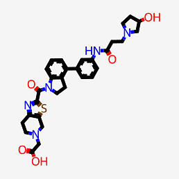 O=C(O)CN1CCc2nc(C(=O)N3CCc4c(-c5cccc(NC(=O)CCN6CCC(O)C6)c5)cccc43)sc2C1